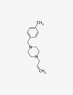 C=CCN1CCN(Cc2ccc(C)cc2)CC1